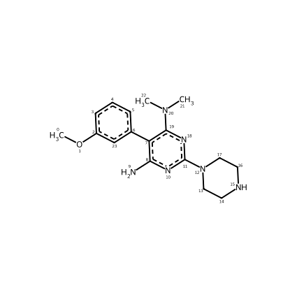 COc1cccc(-c2c(N)nc(N3CCNCC3)nc2N(C)C)c1